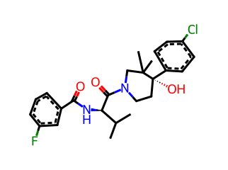 CC(C)[C@@H](NC(=O)c1cccc(F)c1)C(=O)N1CC[C@](O)(c2ccc(Cl)cc2)C(C)(C)C1